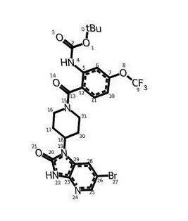 CC(C)(C)OC(=O)Nc1cc(OC(F)(F)F)ccc1C(=O)N1CCC(n2c(=O)[nH]c3ncc(Br)cc32)CC1